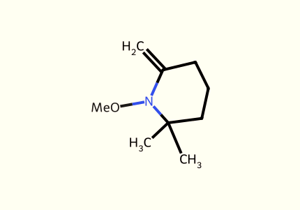 C=C1CCCC(C)(C)N1OC